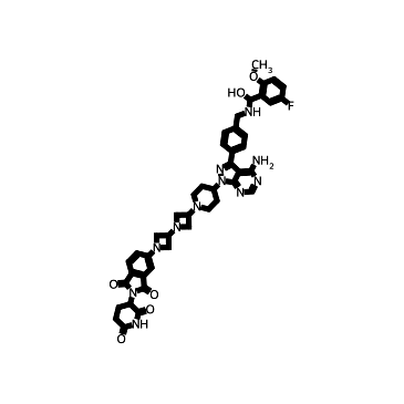 COc1ccc(F)cc1C(O)NCc1ccc(-c2nn(C3CCN(C4CN(C5CN(c6ccc7c(c6)C(=O)N(C6CCC(=O)NC6=O)C7=O)C5)C4)CC3)c3ncnc(N)c23)cc1